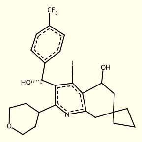 OC1CC2(CCC2)Cc2nc(C3CCOCC3)c([C@H](O)c3ccc(C(F)(F)F)cc3)c(I)c21